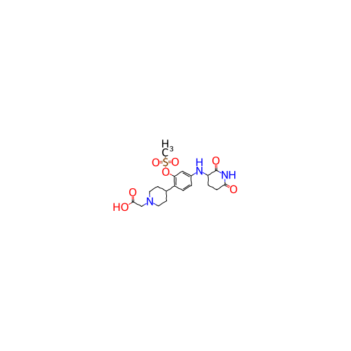 CS(=O)(=O)Oc1cc(NC2CCC(=O)NC2=O)ccc1C1CCN(CC(=O)O)CC1